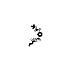 CCCC(=O)NNC(=O)[C@H]1CC[C@@H](N(C)C(=O)OC(C)(C)C)C1